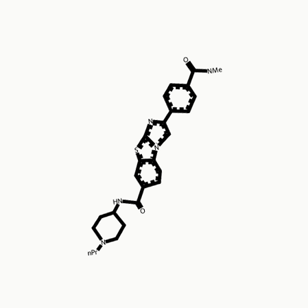 CCCN1CCC(NC(=O)c2ccc3c(c2)sc2nc(-c4ccc(C(=O)NC)cc4)cn23)CC1